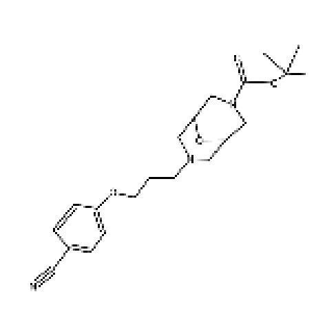 CC(C)(C)OC(=O)N1CC2CN(CCCOc3ccc(C#N)cc3)CC(C1)O2